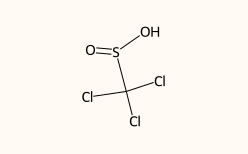 O=S(O)C(Cl)(Cl)Cl